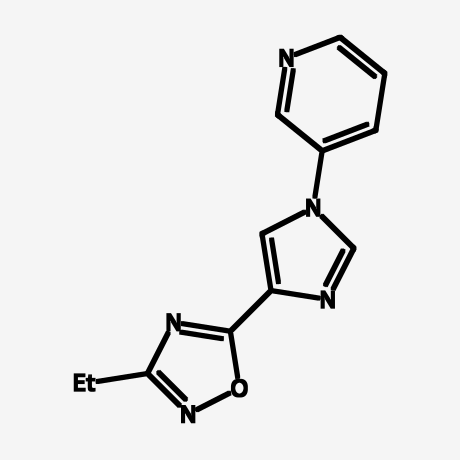 CCc1noc(-c2cn(-c3cccnc3)cn2)n1